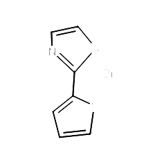 Br.c1csc(-c2nccs2)c1